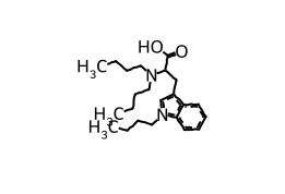 CCCCN(CCCC)C(Cc1cn(CCCC)c2ccccc12)C(=O)O